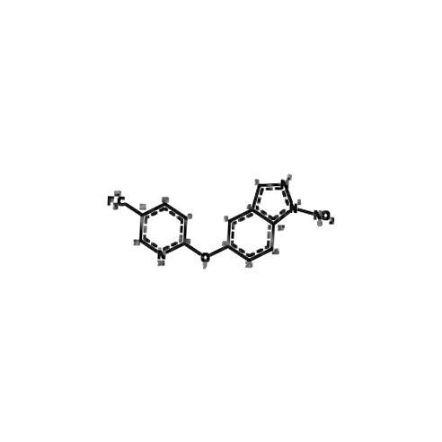 O=[N+]([O-])n1ncc2cc(Oc3ccc(C(F)(F)F)cn3)ccc21